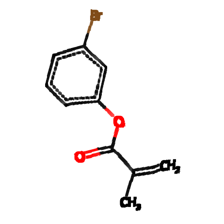 C=C(C)C(=O)Oc1cccc(Br)c1